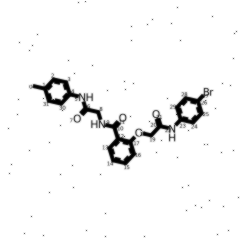 Cc1ccc(NC(=O)CNC(=O)c2ccccc2OCC(=O)Nc2ccc(Br)cc2)cc1